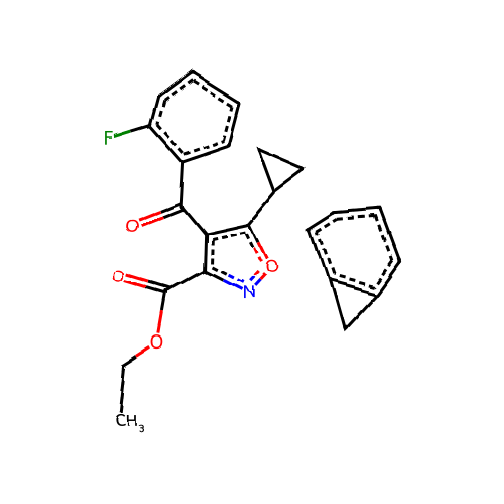 CCOC(=O)c1noc(C2CC2)c1C(=O)c1ccccc1F.c1ccc2c(c1)C2